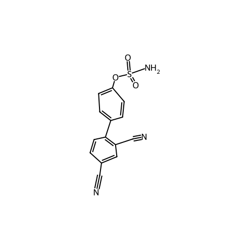 N#Cc1ccc(-c2ccc(OS(N)(=O)=O)cc2)c(C#N)c1